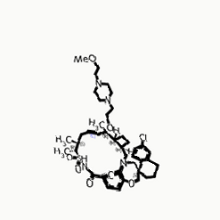 COCCN1CCN(CCO[C@@]2(C)/C=C/C[C@H](C)[C@@H](C)S(=O)(=O)NC(=O)c3ccc4c(c3)N(C[C@@H]3CC[C@H]32)C[C@@]2(CCCc3cc(Cl)ccc32)CO4)CC1